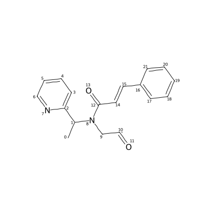 CC(c1ccccn1)N(C[C]=O)C(=O)/C=C/c1ccccc1